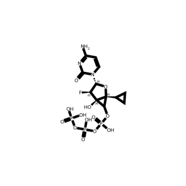 Nc1ccn([C@@H]2O[C@]3(C4CC4)C(OP(=O)(O)OP(=O)(O)OP(=O)(O)O)[C@]3(O)[C@H]2F)c(=O)n1